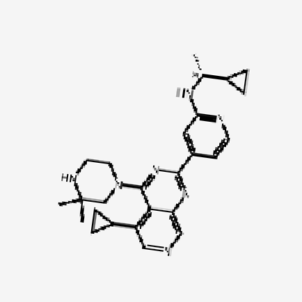 C[C@@H](Nc1cc(-c2nc(N3CCNC(C)(C)C3)c3c(C4CC4)cncc3n2)ccn1)C1CC1